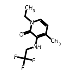 CCn1ccc(C)c(NCC(F)(F)F)c1=O